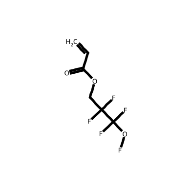 C=CC(=O)OCC(F)(F)C(F)(F)OF